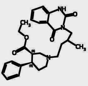 CCOC(=O)[C@H]1CN(CCC(C)Cn2c(=O)[nH]c3ccccc3c2=O)CC[C@H]1c1ccccc1